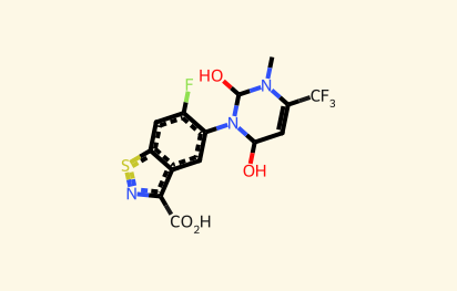 CN1C(C(F)(F)F)=CC(O)N(c2cc3c(C(=O)O)nsc3cc2F)C1O